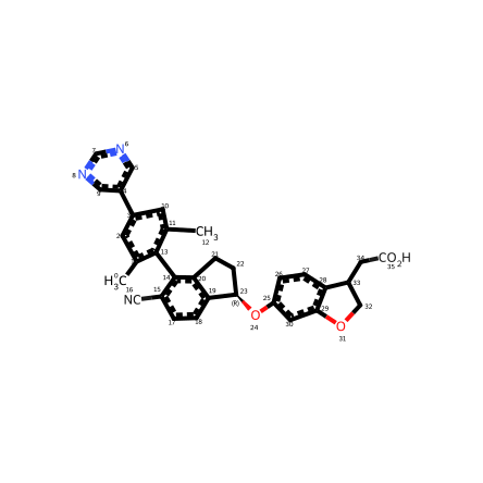 Cc1cc(-c2cncnc2)cc(C)c1-c1c(C#N)ccc2c1CC[C@H]2Oc1ccc2c(c1)OCC2CC(=O)O